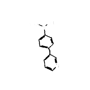 OB(O)c1ccc(-c2cccnc2)cc1